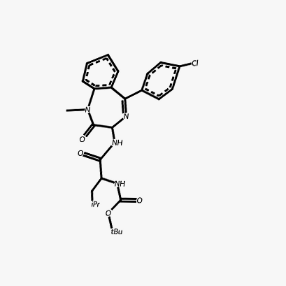 CC(C)CC(NC(=O)OC(C)(C)C)C(=O)NC1N=C(c2ccc(Cl)cc2)c2ccccc2N(C)C1=O